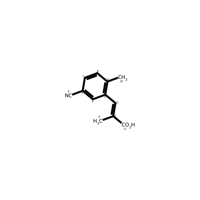 CC(=Cc1cc(C#N)ccc1C)C(=O)O